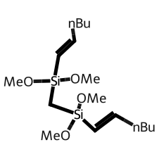 CCCCC=C[Si](C[Si](C=CCCCC)(OC)OC)(OC)OC